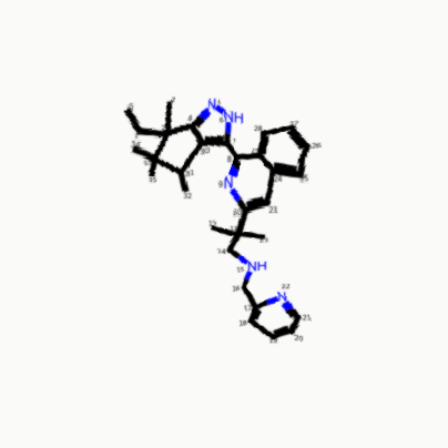 CCC1(C)c2n[nH]c(-c3nc(C(C)(C)CNCc4ccccn4)cc4ccccc34)c2C(C)C1(C)C